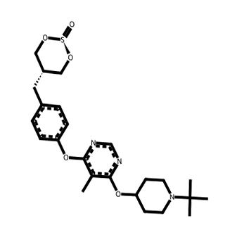 Cc1c(Oc2ccc(C[C@H]3CO[S@](=O)OC3)cc2)ncnc1OC1CCN(C(C)(C)C)CC1